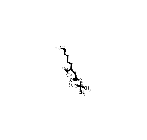 CCCCCCC(CC(=O)OC(C)(C)C)C(=O)O